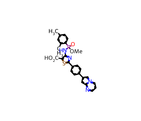 COP(=O)(Nc1nc(-c2ccc(-c3cc4ncccn4c3)cc2)sc1C(=O)O)c1ccc(C)cc1C